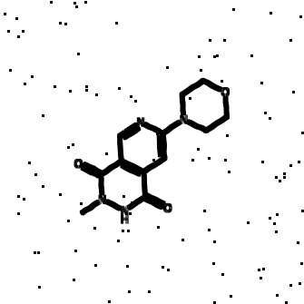 Cn1[nH]c(=O)c2cc(N3CCOCC3)ncc2c1=O